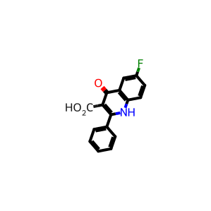 O=C(O)c1c(-c2ccccc2)[nH]c2ccc(F)cc2c1=O